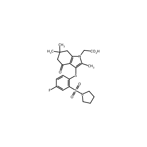 Cc1c(Sc2ccc(F)cc2S(=O)(=O)N2CCCC2)c2c(n1CC(=O)O)CC(C)(C)CC2=O